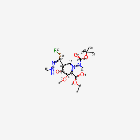 CCOC(=O)c1c(OC)c(=O)c(/C(=N\NC)SF)cn1N(C)C(=O)OC(C)(C)C